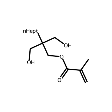 C=C(C)C(=O)OCC(CO)(CO)CCCCCCC